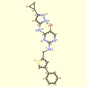 Brc1cnc(NCc2cc(-c3ccccc3)cs2)nc1Nc1cc(C2CC2)n[nH]1